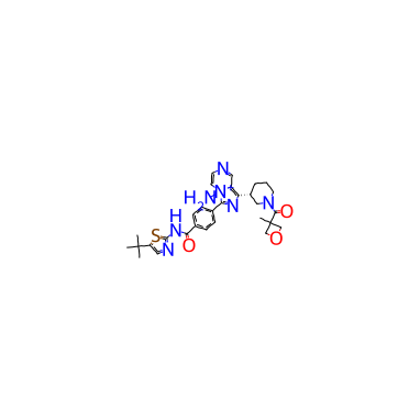 CC1(C(=O)N2CCC[C@@H](C3=C4C=NC=C[N+]4(N)C(c4ccc(C(=O)Nc5ncc(C(C)(C)C)s5)cc4)=N3)C2)COC1